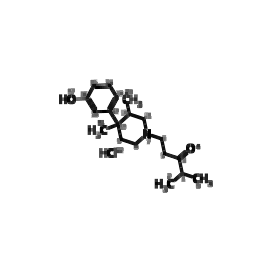 CC(C)C(=O)CCN1CCC(C)(c2cccc(O)c2)C(C)C1.Cl